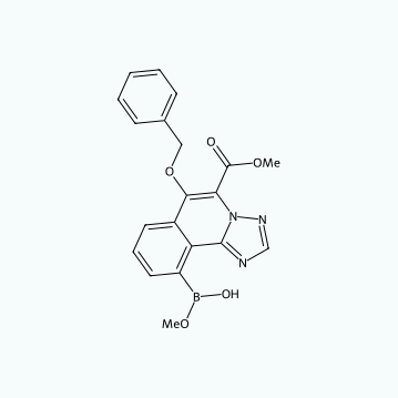 COB(O)c1cccc2c(OCc3ccccc3)c(C(=O)OC)n3ncnc3c12